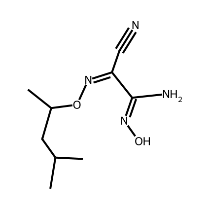 CC(C)CC(C)ON=C(C#N)C(N)=NO